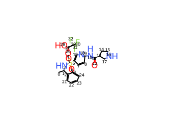 CC(NS(=O)(=O)c1ccc(NC(=O)[C@H]2CCNC2)nc1)c1ccccc1.O=C(O)C(F)(F)F